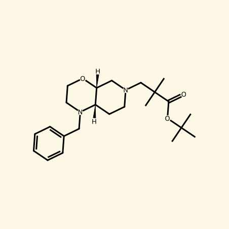 CC(C)(C)OC(=O)C(C)(C)CN1CC[C@H]2[C@@H](C1)OCCN2Cc1ccccc1